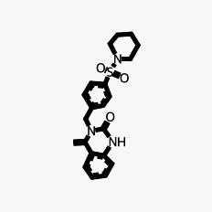 C=C1c2ccccc2NC(=O)N1Cc1ccc(S(=O)(=O)N2CCCCC2)cc1